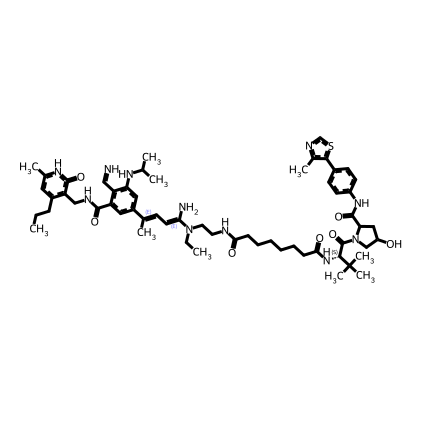 CCCc1cc(C)[nH]c(=O)c1CNC(=O)c1cc(/C(C)=C/C=C(\N)N(CC)CCNC(=O)CCCCCCC(=O)N[C@H](C(=O)N2CC(O)CC2C(=O)Nc2ccc(-c3scnc3C)cc2)C(C)(C)C)cc(NC(C)C)c1C=N